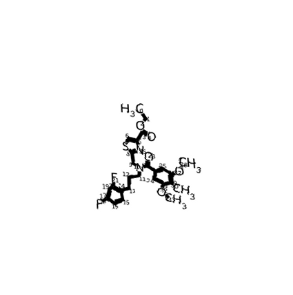 CCOC(=O)c1csc(CN(CCCc2ccc(F)cc2F)C(=O)c2cc(OC)c(C)c(OC)c2)n1